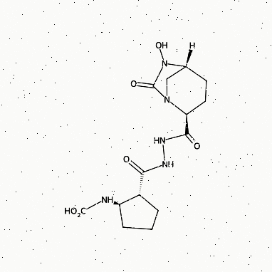 O=C(O)N[C@@H]1CCC[C@H]1C(=O)NNC(=O)[C@@H]1CC[C@@H]2CN1C(=O)N2O